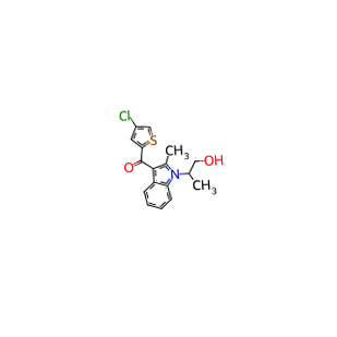 Cc1c(C(=O)c2cc(Cl)cs2)c2ccccc2n1C(C)CO